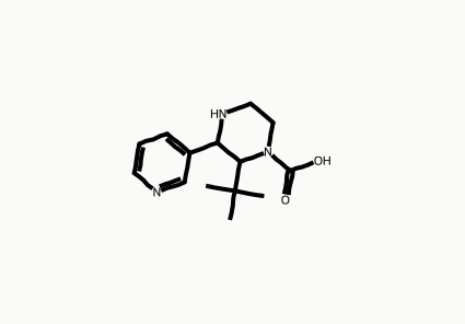 CC(C)(C)C1C(c2cccnc2)NCCN1C(=O)O